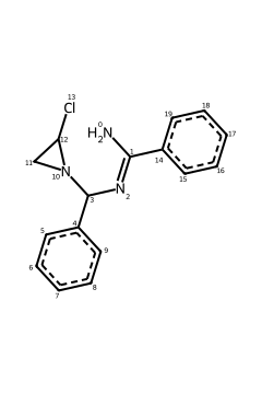 N/C(=N\C(c1ccccc1)N1CC1Cl)c1ccccc1